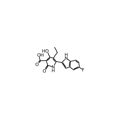 CCc1c(-c2cc3cc(F)ccc3[nH]2)[nH]c(=O)c(C(=O)O)c1O